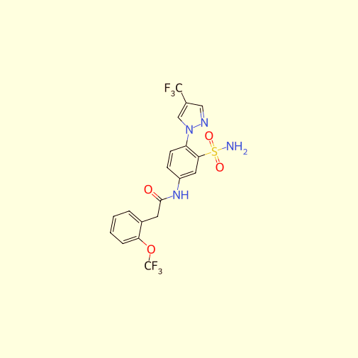 NS(=O)(=O)c1cc(NC(=O)Cc2ccccc2OC(F)(F)F)ccc1-n1cc(C(F)(F)F)cn1